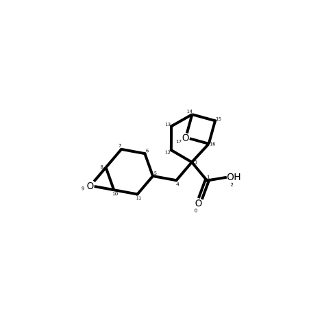 O=C(O)C1(CC2CCC3OC3C2)CCC2CC1O2